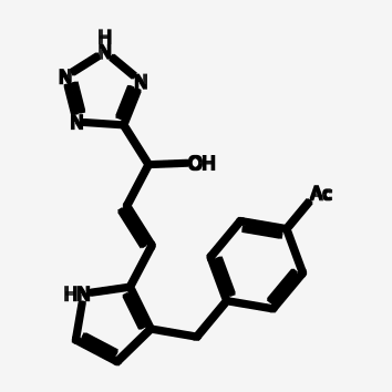 CC(=O)c1ccc(Cc2cc[nH]c2C=CC(O)c2nn[nH]n2)cc1